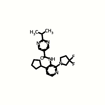 CC(C)c1ncc(C(=O)Nc2c(C3CCCC3)ccnc2N2CCC(F)(F)C2)cn1